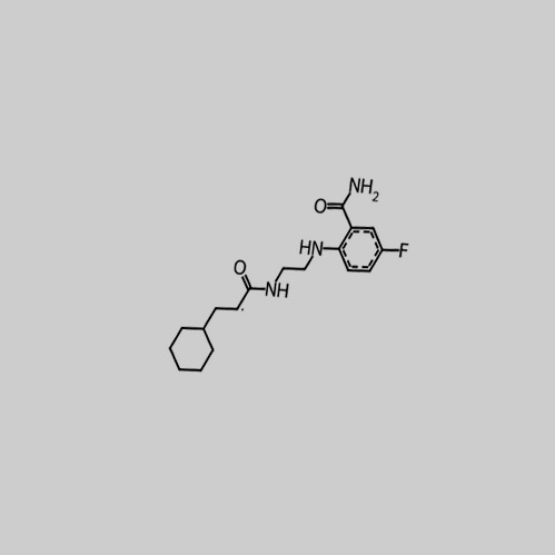 NC(=O)c1cc(F)ccc1NCCNC(=O)[CH]CC1CCCCC1